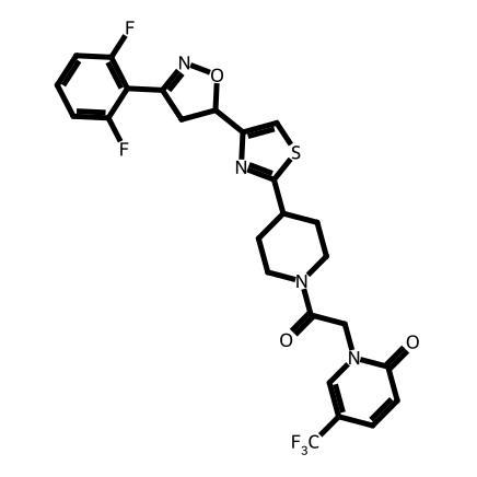 O=C(Cn1cc(C(F)(F)F)ccc1=O)N1CCC(c2nc(C3CC(c4c(F)cccc4F)=NO3)cs2)CC1